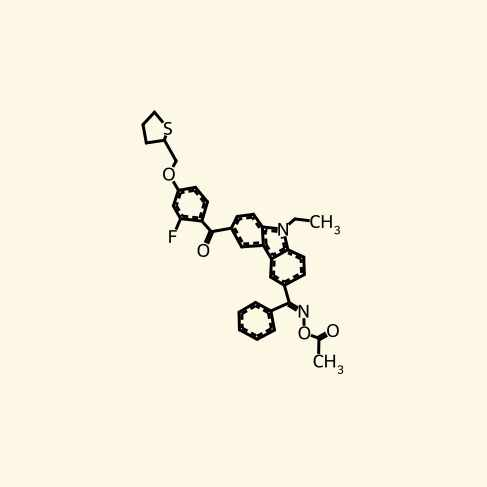 CCn1c2ccc(C(=O)c3ccc(OCC4CCCS4)cc3F)cc2c2cc(/C(=N/OC(C)=O)c3ccccc3)ccc21